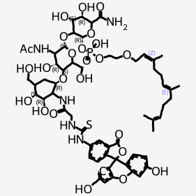 CC(=O)NC1[C@H](OC2[C@@H](OP(=O)(O)OCCOC/C=C(/C)CC/C=C(\C)CCC=C(C)C)OC(C(N)=O)[C@H](O)[C@@H]2O)OC(CO)[C@@H](O[C@@H]2CC(CO)[C@H](O)[C@H](O)C2NC(=O)CNC(=S)Nc2ccc3c(c2)C(=O)OC32c3ccc(O)cc3Oc3cc(O)ccc32)[C@@H]1O